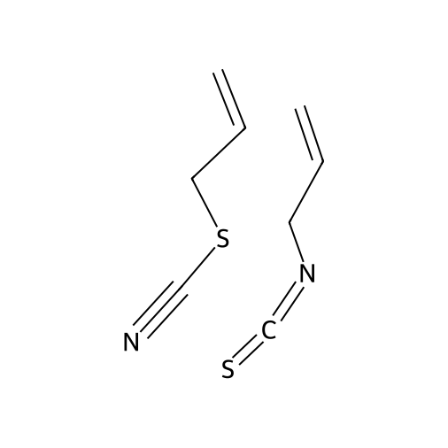 C=CCN=C=S.C=CCSC#N